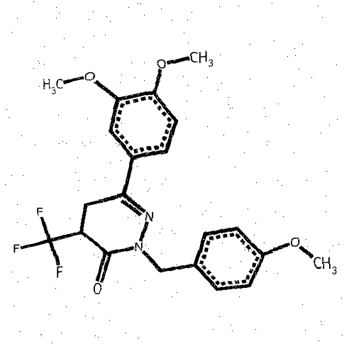 COc1ccc(CN2N=C(c3ccc(OC)c(OC)c3)CC(C(F)(F)F)C2=O)cc1